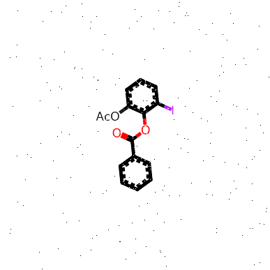 CC(=O)Oc1cccc(I)c1OC(=O)c1ccccc1